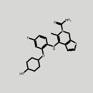 CC1=C(Nc2ccc(F)cc2OC2CCC(O)CC2)c2ccsc2CN1C(N)=O